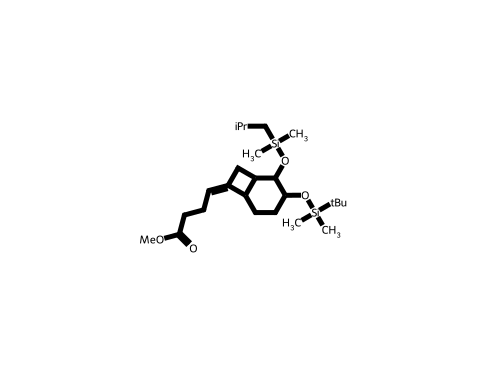 COC(=O)CC/C=C1/CC2C1CCC(O[Si](C)(C)C(C)(C)C)C2O[Si](C)(C)CC(C)C